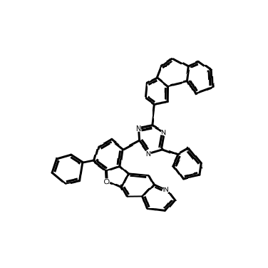 c1ccc(-c2nc(-c3ccc4ccc5ccccc5c4c3)nc(-c3ccc(-c4ccccc4)c4oc5cc6cccnc6cc5c34)n2)cc1